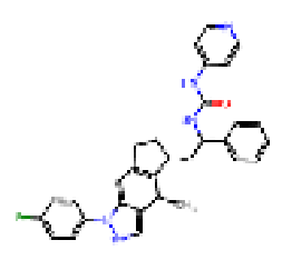 C[C@H]1C2=CNN(c3ccc(F)cc3)C2=CC2=C1[C@@H](CC(NC(=O)Nc1ccncc1)c1ccccc1)CC2